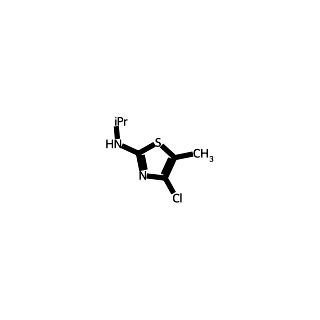 Cc1sc(NC(C)C)nc1Cl